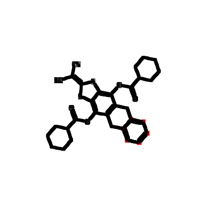 N#CC(C#N)=C1Sc2c(OC(=O)C3CCCCC3)c3c(c(OC(=O)C4CCCCC4)c2S1)C1c2ccccc2C3C2=CC=CCC21